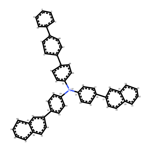 c1ccc(-c2ccc(-c3ccc(N(c4ccc(-c5ccc6ccccc6c5)cc4)c4ccc(-c5ccc6ccccc6c5)cc4)cc3)cc2)cc1